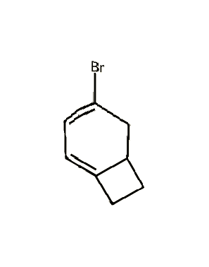 BrC1=CC=C2CCC2C1